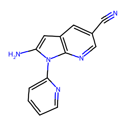 N#Cc1cnc2c(c1)cc(N)n2-c1ccccn1